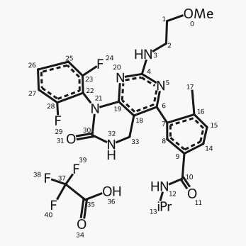 COCCNc1nc(-c2cc(C(=O)NC(C)C)ccc2C)c2c(n1)N(c1c(F)cccc1F)C(=O)NC2.O=C(O)C(F)(F)F